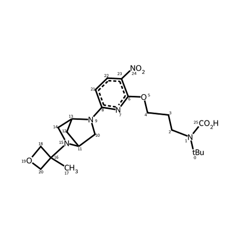 CC(C)(C)N(CCCOc1nc(N2CC3CC2CN3C2(C)COC2)ccc1[N+](=O)[O-])C(=O)O